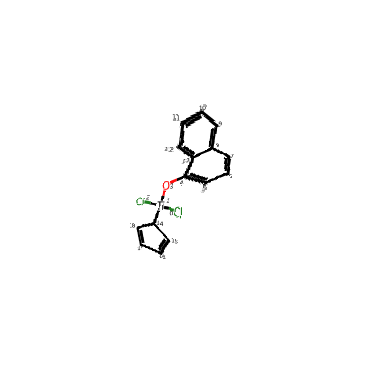 [Cl][Ti]([Cl])([O]c1cccc2ccccc12)[CH]1C=CC=C1